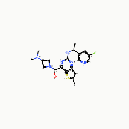 Cc1cc2nc(NC(C)c3cncc(F)c3)nc(C(O)N3CC(N(C)C)C3)c2s1